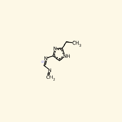 C=N/C=N\c1c[nH]c(CC)n1